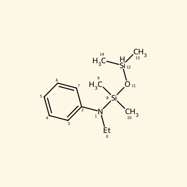 CCN(c1ccccc1)[Si](C)(C)O[SiH](C)C